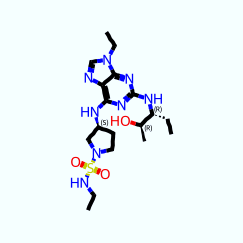 CCNS(=O)(=O)N1CC[C@H](Nc2nc(N[C@H](CC)[C@@H](C)O)nc3c2ncn3CC)C1